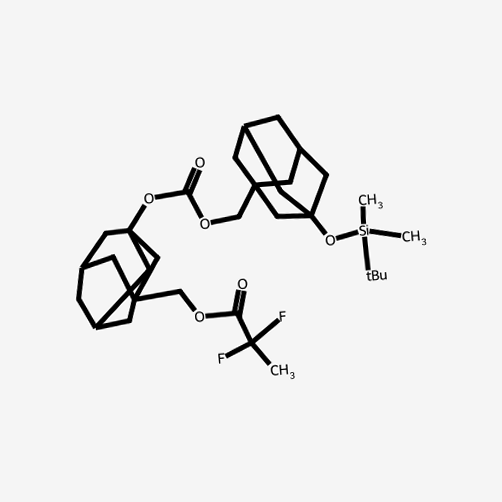 CC(F)(F)C(=O)OCC12CC3CC(C1)CC(OC(=O)OCC14CC5CC(C1)CC(O[Si](C)(C)C(C)(C)C)(C5)C4)(C3)C2